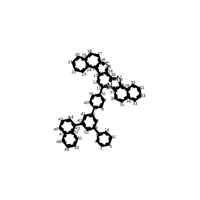 c1ccc(-c2cc(-c3ccc(-c4cc5c(sc6ccc7ccccc7c65)c5nc6c7ccccc7ccc6n45)cc3)cc(-c3cccc4ccccc34)c2)cc1